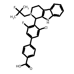 CC(C)(F)CN1CCc2c([nH]c3ccccc23)C1c1c(F)cc(-c2ccc(C(=O)O)cc2)cc1Cl